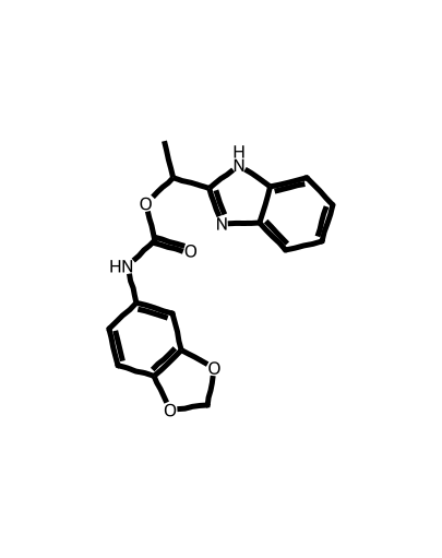 CC(OC(=O)Nc1ccc2c(c1)OCO2)c1nc2ccccc2[nH]1